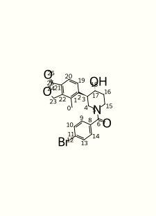 Cc1c([C@@H]2CN(C(=O)c3ccc(Br)cc3)CC[C@H]2O)ccc2c1COC2=O